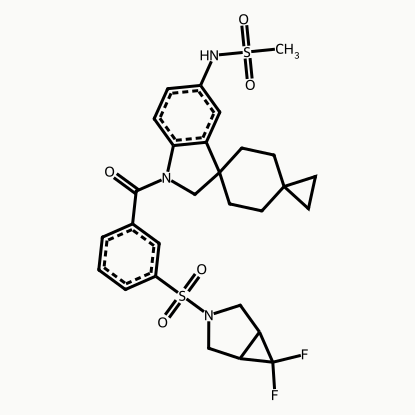 CS(=O)(=O)Nc1ccc2c(c1)C1(CCC3(CC3)CC1)CN2C(=O)c1cccc(S(=O)(=O)N2CC3C(C2)C3(F)F)c1